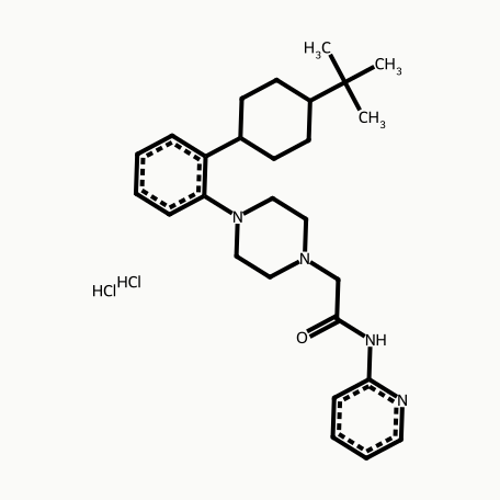 CC(C)(C)C1CCC(c2ccccc2N2CCN(CC(=O)Nc3ccccn3)CC2)CC1.Cl.Cl